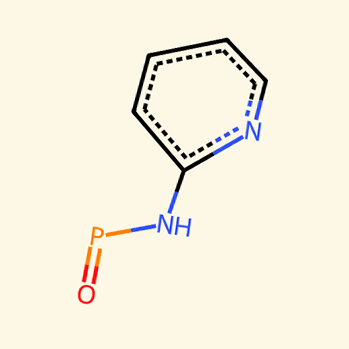 O=PNc1ccccn1